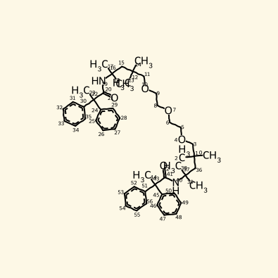 CC(C)(COCCOCCOCC(C)(C)CC(C)(C)NC(=O)C(C)(c1ccccc1)c1ccccc1)CC(C)(C)NC(=O)C(C)(c1ccccc1)c1ccccc1